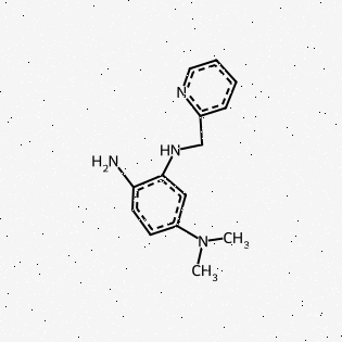 CN(C)c1ccc(N)c(NCc2ccccn2)c1